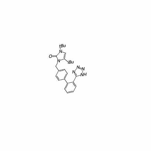 CCC(C)c1cn(C(C)(C)C)c(=O)n1Cc1ccc(-c2ccccc2-c2nnn[nH]2)cc1